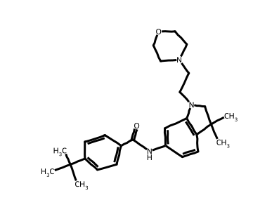 CC(C)(C)c1ccc(C(=O)Nc2ccc3c(c2)N(CCN2CCOCC2)CC3(C)C)cc1